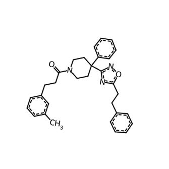 Cc1cccc(CCC(=O)N2CCC(c3ccccc3)(c3noc(CCc4ccccc4)n3)CC2)c1